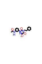 COc1nn(-c2cccc(NC(C)=O)c2)c(=O)n(CCc2ccccc2)c1=O